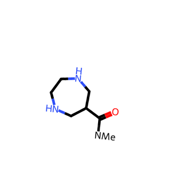 CNC(=O)C1CNCCNC1